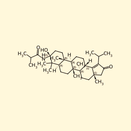 CC(C)C(=O)N[C@]1(O)CC[C@]2(C)[C@H]3CC[C@@H]4C5=C(C(C)C)C(=O)C[C@]5(C)CC[C@@]4(C)[C@]3(C)CC[C@H]2C1(C)C